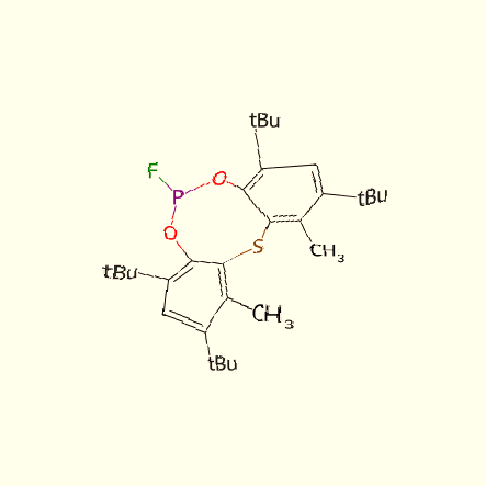 Cc1c(C(C)(C)C)cc(C(C)(C)C)c2c1Sc1c(C)c(C(C)(C)C)cc(C(C)(C)C)c1OP(F)O2